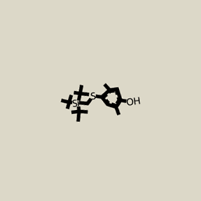 Cc1cc(SC[Si](C(C)(C)C)(C(C)(C)C)C(C)(C)C)c(C)cc1O